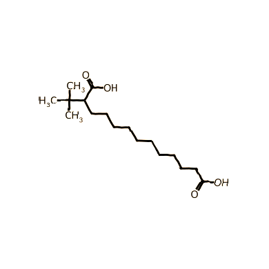 CC(C)(C)C(CCCCCCCCCCC(=O)O)C(=O)O